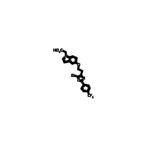 CCc1oc(-c2ccc(C(F)(F)F)cc2)nc1CCOc1ccc2c(ccn2CC(=O)O)c1